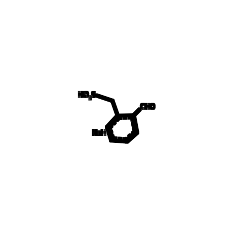 O=Cc1ccccc1CS(=O)(=O)O.[NaH]